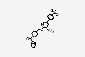 CS(=O)(=O)c1ccc(-c2cnc(OCC3CCN(C(=O)C4CC5CCC4C5)CC3)c([N+](=O)[O-])c2)cc1